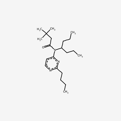 CCCCc1nccc(N(C(=O)CC(C)(C)C)C(CCC)CCC)n1